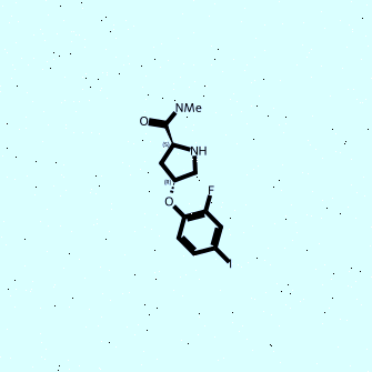 CNC(=O)[C@@H]1C[C@@H](Oc2ccc(I)cc2F)CN1